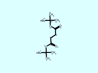 CCCCC(C)(C)OC(=O)CCC(=O)OC(C)(C)CCCC